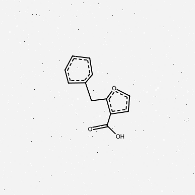 O=C(O)c1ccoc1Cc1ccccc1